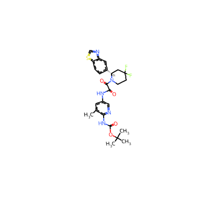 Cc1cc(NC(=O)C(=O)N2CCC(F)(F)C[C@H]2c2ccc3scnc3c2)cnc1NC(=O)OC(C)(C)C